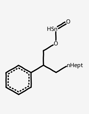 CCCCCCCCC(C[O][SnH]=[O])c1ccccc1